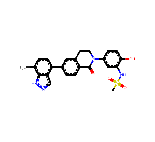 CS(=O)(=O)Nc1cc(N2CCc3cc(-c4ccc(C(F)(F)F)c5[nH]ncc45)ccc3C2=O)ccc1O